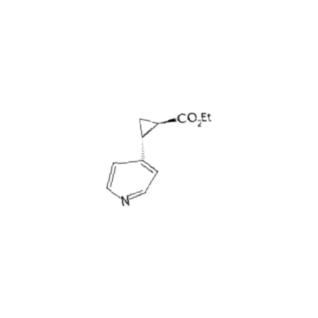 CCOC(=O)[C@@H]1C[C@H]1c1ccncc1